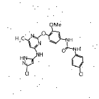 COc1cc(NC(=O)Nc2ccc(Cl)cc2)ccc1Oc1nc(C)cc(Nc2cc(Cl)n[nH]2)n1